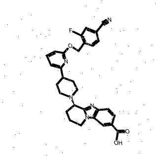 N#Cc1ccc(COc2cccc(C3CCN([C@@H]4CCCn5c4nc4ccc(C(=O)O)cc45)CC3)n2)c(F)c1